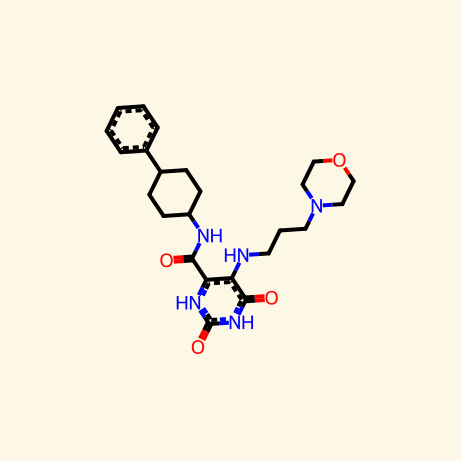 O=C(NC1CCC(c2ccccc2)CC1)c1[nH]c(=O)[nH]c(=O)c1NCCCN1CCOCC1